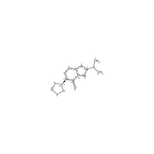 CC(C)n1cc2ccn([C@H]3CCOC3)c(=O)c2n1